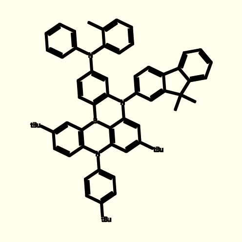 Cc1ccccc1N(c1ccccc1)c1ccc2c(c1)N(c1ccc3c(c1)C(C)(C)c1ccccc1-3)c1cc(C(C)(C)C)cc3c1B2c1cc(C(C)(C)C)ccc1N3c1ccc(C(C)(C)C)cc1